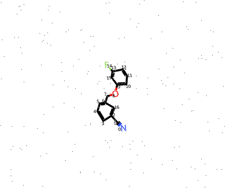 N#Cc1cccc(COc2cc[c]c(F)c2)c1